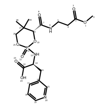 COC(=O)CCNC(=O)[C@@H]1OP(=O)(N[C@@H](Cc2cccnc2)C(=O)O)OCC1(C)C